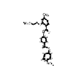 COCCOc1cc(OC)ccc1C(=O)Oc1ccc(C(=O)Oc2ccc([N+](=O)[O-])cc2)cc1